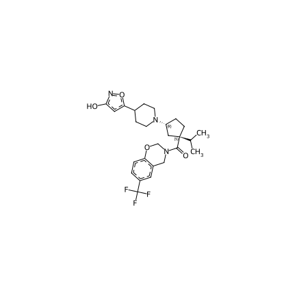 CC(C)[C@]1(C(=O)N2COc3ccc(C(F)(F)F)cc3C2)CC[C@@H](N2CCC(c3cc(O)no3)CC2)C1